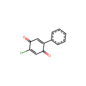 O=C1C=C(c2ccccc2)C(=O)C=C1Cl